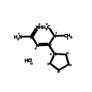 CN(C)C(=NC(=N)N)N1CCCC1.Cl